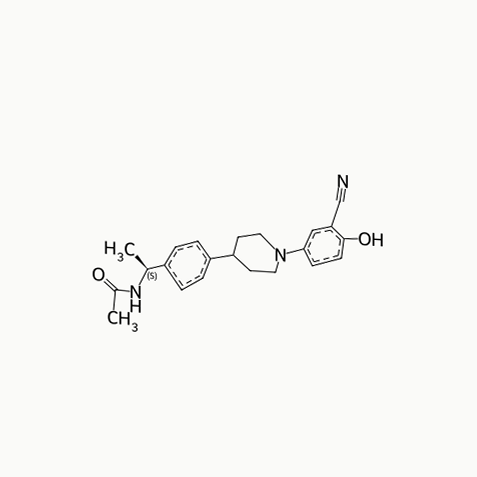 CC(=O)N[C@@H](C)c1ccc(C2CCN(c3ccc(O)c(C#N)c3)CC2)cc1